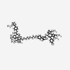 Cc1ncsc1-c1ccc(CNC(=O)[C@@H]2C[C@@H](O)CN2C(=O)[C@@H](NC(=O)COCCCOCCCOc2ccc(C3(NC(=O)C[C@@H]4N=C(c5ccc(Cl)cc5)c5c(sc(C)c5C)-n5c(C)nnc54)CC3)cc2)C(C)(C)C)cc1